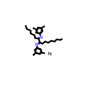 CCCCCCCCC(=N\c1cc(C)cc(C)c1)/C(CCCCCC)=N/c1cc(C)cc(C)c1.[Ni]